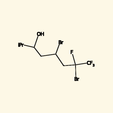 CC(C)C(O)CC(Br)CC(F)(Br)C(F)(F)F